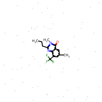 CCCc1nc2c(C(F)(F)F)cc(C)cc2c(=O)n1C